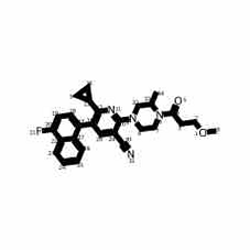 COCCC(=O)N1CCN(c2nc(C3CC3)c(-c3ccc(F)c4ccccc34)cc2C#N)CC1C